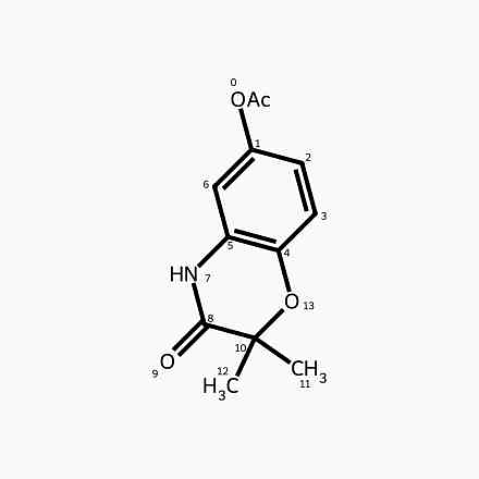 CC(=O)Oc1ccc2c(c1)NC(=O)C(C)(C)O2